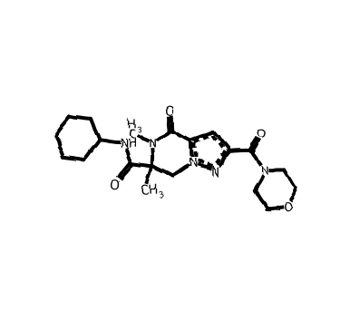 CN1C(=O)c2cc(C(=O)N3CCOCC3)nn2CC1(C)C(=O)NC1CCCCC1